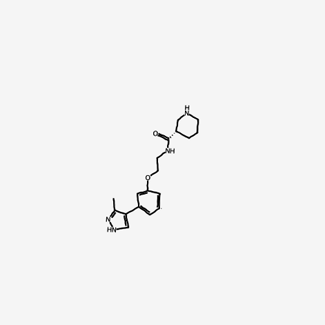 Cc1n[nH]cc1-c1c[c]cc(OCCNC(=O)[C@H]2CCCNC2)c1